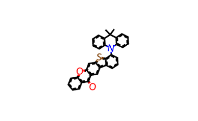 CC1(C)c2ccccc2N(c2cccc3c2sc2cc4oc5ccccc5c(=O)c4cc23)c2ccccc21